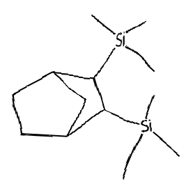 C[Si](C)(C)C1C2CCC(C2)C1[Si](C)(C)C